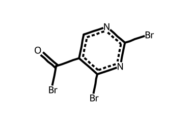 O=C(Br)c1cnc(Br)nc1Br